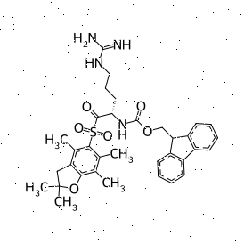 Cc1c(C)c(S(=O)(=O)C(=O)[C@H](CCCNC(=N)N)NC(=O)OCC2c3ccccc3-c3ccccc32)c(C)c2c1OC(C)(C)C2